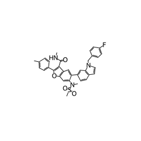 CNC(=O)c1c(-c2ccc(C)cc2)oc2cc(N(C)S(C)(=O)=O)c(-c3ccc4ccn(Cc5ccc(F)cc5)c4c3)cc12